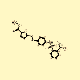 COC(=O)c1ccc(COc2ccc(NS(=O)(=O)c3ccccc3C(C)C)cc2)o1